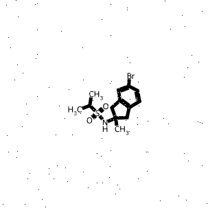 CC(C)S(=O)(=O)NC1(C)Cc2ccc(Br)cc2C1